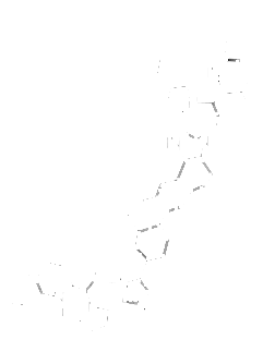 CC[C@H]1C[C@@H](c2nc3ccc4cc5c(cc4c3[nH]2)OCc2cc(-c3cnc([C@@H]4CC[C@H](C)N4C(=O)C(NC(=O)OC)C(C)C)[nH]3)ccc2-5)N(C(=O)[C@@H](NC(=O)OC)C(C)C)C1